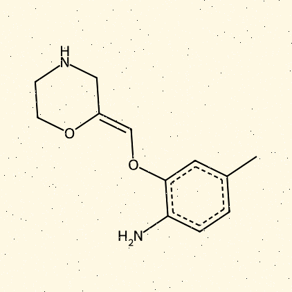 Cc1ccc(N)c(O/C=C2/CNCCO2)c1